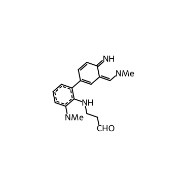 CN/C=C1/C=C(c2cccc(NC)c2NCCC=O)C=CC1=N